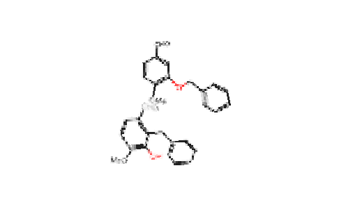 COc1ccc(C=O)c(Cc2ccccc2)c1O.COc1ccc(C=O)cc1OCc1ccccc1